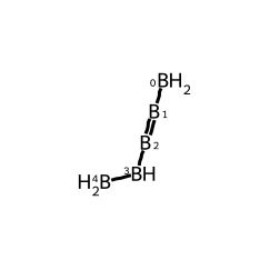 BB=BBB